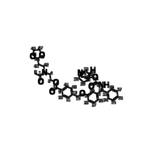 CC(=O)N(CCOC(=O)c1ccc(COc2cccc(C(NC(=O)O[C@H]3CN4CCC3CC4)c3ccccc3)c2)cc1)CCC1OCCO1